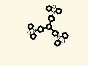 c1ccc2c(c1)Oc1ccccc1N2c1ccc(-c2cc(-c3ccc(N4c5ccccc5Oc5ccccc54)cc3)cc(-c3ccc(N4c5ccccc5Oc5ccccc54)cc3)c2)cc1